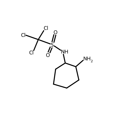 NC1CCCCC1NS(=O)(=O)C(Cl)(Cl)Cl